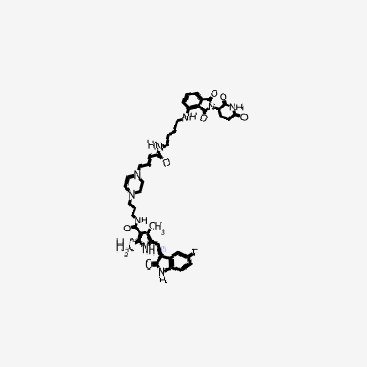 Cc1[nH]c(/C=C2\C(=O)Nc3ccc(F)cc32)c(C)c1C(=O)NCCCN1CCN(CCCC(=O)NCCCCNc2cccc3c2C(=O)N(C2CCC(=O)NC2=O)C3=O)CC1